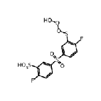 O=S(=O)(O)c1cc(S(=O)(=O)c2ccc(F)c(SOOO)c2)ccc1F